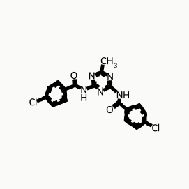 Cc1nc(NC(=O)c2ccc(Cl)cc2)nc(NC(=O)c2ccc(Cl)cc2)n1